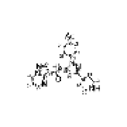 CC(=O)c1ccc(-n2nc(C3CCNCC3)cc2NC(=O)c2cnn3cccnc23)cc1